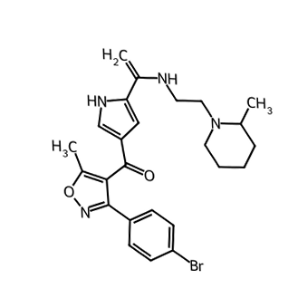 C=C(NCCN1CCCCC1C)c1cc(C(=O)c2c(-c3ccc(Br)cc3)noc2C)c[nH]1